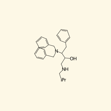 CC(C)CNCC(O)C(Cc1ccccc1)N(Cc1ccccc1)Cc1ccccc1